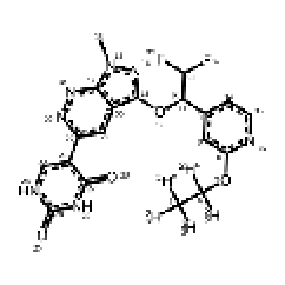 [2H]C([2H])([2H])C([2H])([2H])Oc1cc([C@@H](Oc2nn(C)c3nnc(-c4c[nH]c(=O)[nH]c4=O)cc23)C(F)F)ccn1